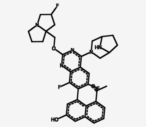 CC(=O)c1cccc2cc(O)cc(-c3c(F)cc4c(N5CC6CCC(C5)N6)nc(OCC56CCCN5CC(F)C6)nc4c3F)c12